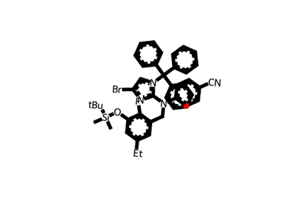 CCc1cc(CN(c2ccc(C#N)cc2)c2nc(Br)cn2C(c2ccccc2)(c2ccccc2)c2ccccc2)c(F)c(O[Si](C)(C)C(C)(C)C)c1